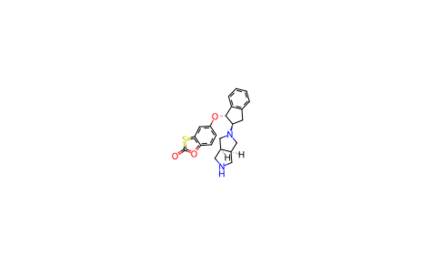 O=c1oc2ccc(O[C@@H]3c4ccccc4C[C@H]3N3C[C@H]4CNC[C@H]4C3)cc2s1